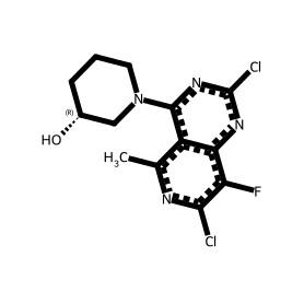 Cc1nc(Cl)c(F)c2nc(Cl)nc(N3CCC[C@@H](O)C3)c12